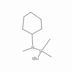 CN(C1CCCCC1)[Si](C)(C)C(C)(C)C